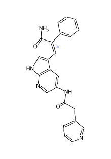 NC(=O)/C(=C\c1c[nH]c2ncc(NC(=O)Cc3cccnc3)cc12)c1ccccc1